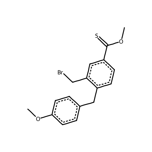 COC(=S)c1ccc(Cc2ccc(OC)cc2)c(CBr)c1